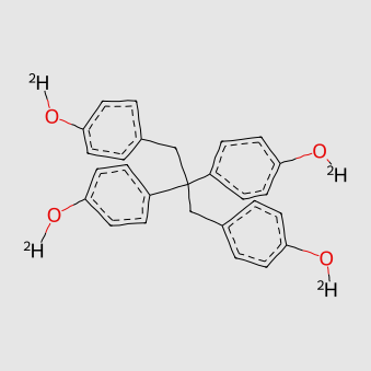 [2H]Oc1ccc(CC(Cc2ccc(O[2H])cc2)(c2ccc(O[2H])cc2)c2ccc(O[2H])cc2)cc1